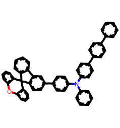 c1ccc(-c2ccc(-c3ccc(N(c4ccccc4)c4ccc(-c5ccc6c(c5)-c5ccccc5C65c6ccccc6Oc6ccccc65)cc4)cc3)cc2)cc1